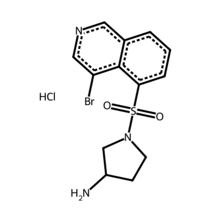 Cl.NC1CCN(S(=O)(=O)c2cccc3cncc(Br)c23)C1